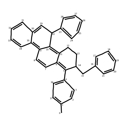 Cc1ccc(C2=c3ccc4c(c3CCC2Cc2ccccc2)C(c2ccccc2)C=c2ccccc2=4)cc1